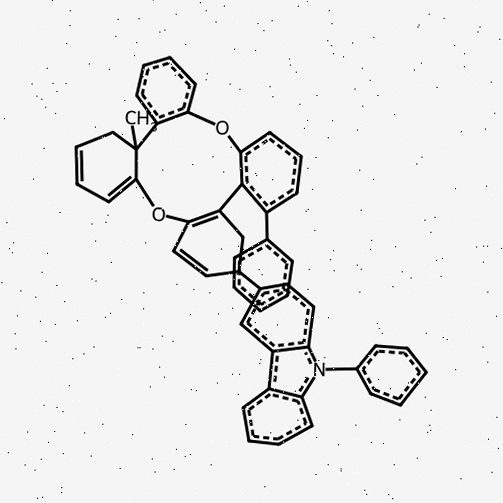 CC12CC=CC=C1OC1=C(CC(c3ccc4c(c3)c3ccccc3n4-c3ccccc3)C=C1)c1c(cccc1-c1ccccc1)Oc1ccccc12